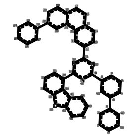 c1ccc(-c2cccc(-c3nc(-c4ccc5ccc6ccc(-c7ccccc7)cc6c5c4)nc(-c4cccc5oc6ccccc6c45)n3)c2)cc1